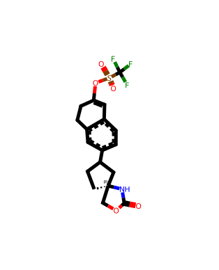 O=C1N[C@@]2(CCC(c3ccc4c(c3)CCC(OS(=O)(=O)C(F)(F)F)=C4)C2)CO1